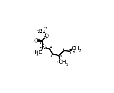 C=CCC(C)CCN(C)C(=O)OC(C)(C)C